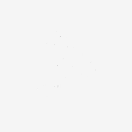 CC(C)(C)OC(=O)NCCC1CC(C(=CCCc2ccccc2)Cc2ccccc2)=NO1